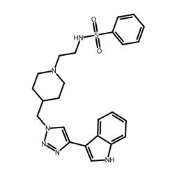 O=S(=O)(NCCN1CCC(Cn2cc(-c3c[nH]c4ccccc34)nn2)CC1)c1ccccc1